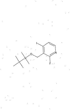 CC(C)(C)[Si](C)(C)OCc1c(I)ccnc1F